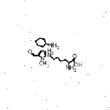 Cn1cccc1C=O.NC1CCCCC1.NCCCCC(N)C(=O)O